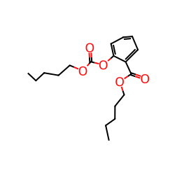 CCCCCOC(=O)Oc1ccccc1C(=O)OCCCCC